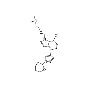 C[Si](C)(C)CCOCn1ncc2c(-c3cnn(C4CCCCO4)c3)cnc(Cl)c21